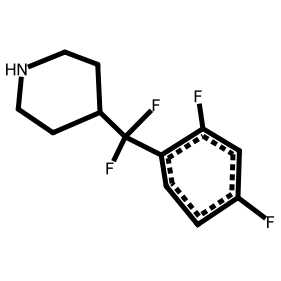 Fc1ccc(C(F)(F)C2CCNCC2)c(F)c1